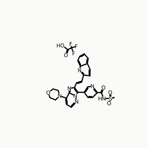 CS(=O)(=O)NC(=O)c1ccc(-c2c(C=Cc3ccc4ccccc4n3)nc3c(N4CCOCC4)ccnn23)cn1.O=C(O)C(F)(F)F